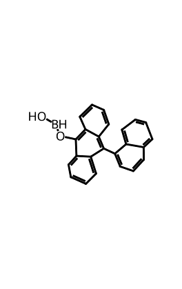 OBOc1c2ccccc2c(-c2cccc3ccccc23)c2ccccc12